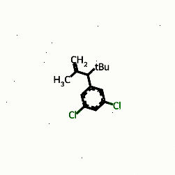 C=C(C)C(c1cc(Cl)cc(Cl)c1)C(C)(C)C